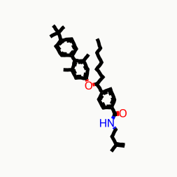 C=C(C)CCNC(=O)c1ccc(C(CCCCCC)Oc2cc(C)c(-c3ccc(C(C)(C)C)cc3)c(C)c2)cc1